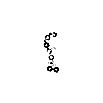 CN(CCN1CCC(OC(=O)Nc2ccccc2-c2ccccc2)CC1)C(=O)c1ccc(CN2CCC(C(=O)N3CCCC3)CC2)cc1